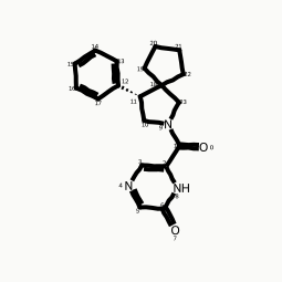 O=C(c1cncc(=O)[nH]1)N1C[C@H](c2ccccc2)C2(CCCC2)C1